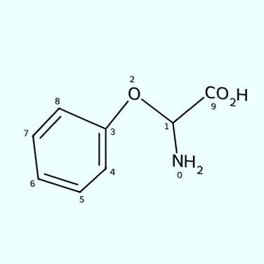 NC(Oc1ccccc1)C(=O)O